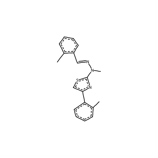 Cc1ccccc1/C=N/N(C)c1nc(-c2ccccc2C)cs1